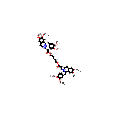 COc1ccc(C[C@@H]2c3cc(OC)c(OC)cc3CC[N@@+]2(C)CCC(=O)OCCCCCOC(=O)CC[N@+]2(C)CCc3cc(OC)c(OC)cc3[C@H]2Cc2ccc(OC)c(OC)c2)cc1OC